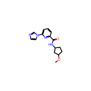 COC1CCC(NC(=O)c2cccc(-n3ccnc3)n2)C1